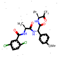 COc1ccc([C@H](NC(=O)[C@H](C)NC(=O)c2cc(Cl)ccc2Cl)C(=O)N[C@H](C(=O)C(F)(F)F)C(C)C)cc1